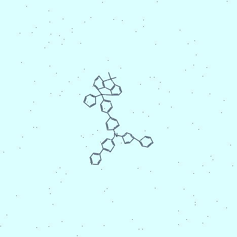 CC1(C)c2cccc3c2-c2c1cccc2C3(c1ccccc1)c1ccc(-c2ccc(N(c3ccc(-c4ccccc4)cc3)c3ccc(-c4ccccc4)cc3)cc2)cc1